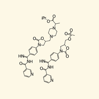 CC(C)OC(=O)C(C)N1CCN(CC2CN(c3ccc(C(=N)NC(=O)c4cccnc4)cc3)C(=O)O2)CC1.CS(=O)(=O)OCC1CN(c2ccc(C(=N)NC(=O)c3cccnc3)cc2)C(=O)O1